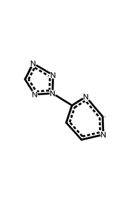 [c]1nccc(-n2ncnn2)n1